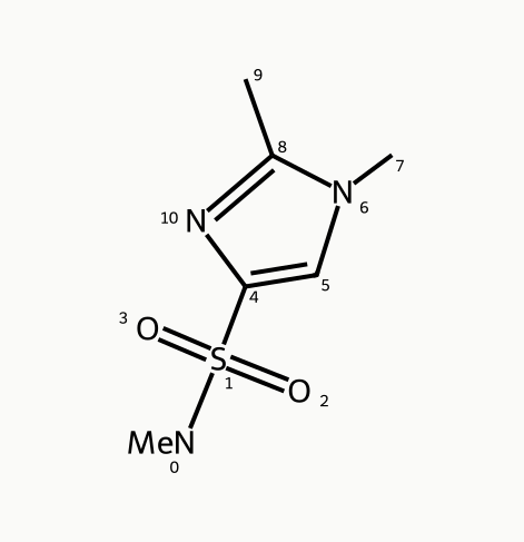 [CH2-][NH2+]S(=O)(=O)c1cn(C)c(C)n1